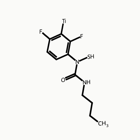 CCCCNC(=O)N(S)c1ccc(F)[c]([Ti])c1F